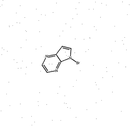 Brn1ccc2nccnc21